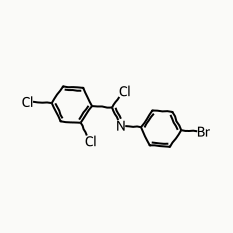 ClC(=Nc1ccc(Br)cc1)c1ccc(Cl)cc1Cl